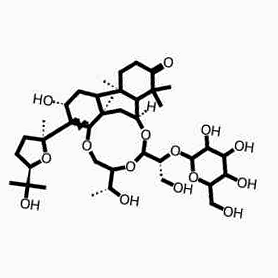 C[C@@H](O)C1CO[C@@]23CCC([C@]4(C)CC[C@H](C(C)(C)O)O4)C2[C@H](O)CC2[C@@]4(C)CCC(=O)C(C)(C)C4[C@H](C[C@]23C)OC([C@@H](CO)OC2OC(CO)C(O)C(O)C2O)O1